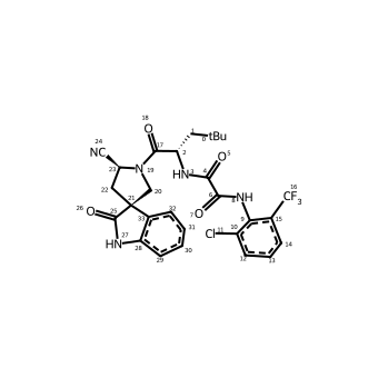 CC(C)(C)C[C@H](NC(=O)C(=O)Nc1c(Cl)cccc1C(F)(F)F)C(=O)N1C[C@]2(C[C@H]1C#N)C(=O)Nc1ccccc12